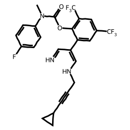 CN(C(=O)Oc1c(/C(C=N)=C/NCC#CC2CC2)cc(C(F)(F)F)cc1C(F)(F)F)c1ccc(F)cc1